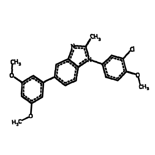 COc1cc(OC)cc(-c2ccc3c(c2)nc(C)n3-c2ccc(OC)c(Cl)c2)c1